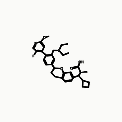 CCN(CC)Cc1cc(C2CCc3ccc([C@H](C4CCC4)[C@H](C)C(=O)O)cc3O2)ccc1-c1cc(OC)ncc1F